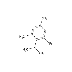 Cc1cc(N)cc(C(C)C)c1N(C)C